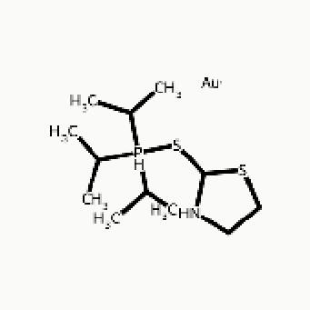 CC(C)[PH](SC1NCCS1)(C(C)C)C(C)C.[Au]